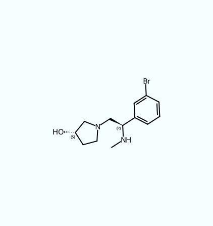 CN[C@@H](CN1CC[C@H](O)C1)c1cccc(Br)c1